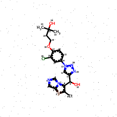 CCc1sc2cncn2c1C(O)c1cn(-c2ccc(OCCC(C)(C)O)c(Cl)c2)nn1